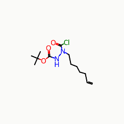 C=CCCCCCN(NC(=O)OC(C)(C)C)C(=O)Cl